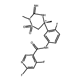 CN1C(=N)N[C@](C)(c2cc(NC(=O)c3cnc(F)cc3F)ccc2F)CS1(=O)=O